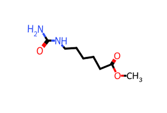 COC(=O)CCCCCNC(N)=O